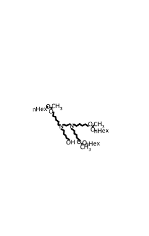 CCCCCCOC(C)OCCCCCCN(CCCCCCO)CCCN(CCCCCCOC(C)OCCCCCC)CCCCCCOC(C)OCCCCCC